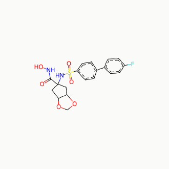 O=C(NO)C1(NS(=O)(=O)c2ccc(-c3ccc(F)cc3)cc2)CC2OCOC2C1